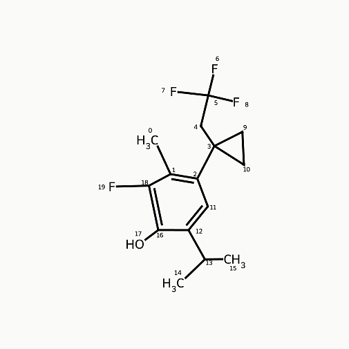 Cc1c(C2(CC(F)(F)F)CC2)cc(C(C)C)c(O)c1F